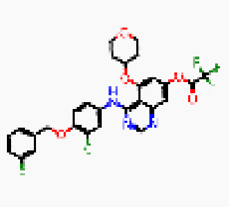 O=C(Oc1cc(OC2CCOCC2)c2c(Nc3ccc(OCc4cccc(F)c4)c(Cl)c3)ncnc2c1)C(F)(F)F